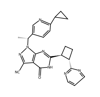 C[C@H](c1ccc(C2CC2)nc1)n1nc(C#N)c2c(=O)[nH]c([C@H]3CC[C@@H]3c3ncccn3)nc21